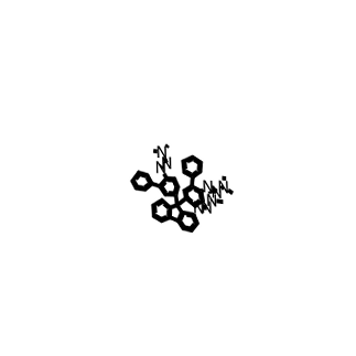 CN(C)N=Nc1ccc(C2(c3ccc(N=NN(C)C)c(-c4ccccc4)c3)c3ccccc3-c3cccc(N=NN(C)C)c32)cc1-c1ccccc1